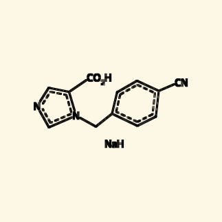 N#Cc1ccc(Cn2cncc2C(=O)O)cc1.[NaH]